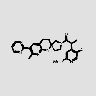 COc1cc(C(C)C(=O)N2CC[C@@]3(CCc4cc(-c5ncccn5)c(C)nc4N3)C2)c(Cl)cn1